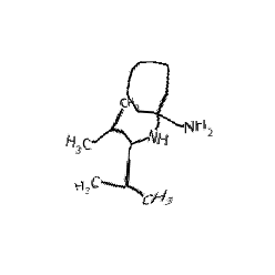 CC(C)C(NC1(N)CCCCC1)C(C)C